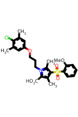 COc1ccccc1S(=O)(=O)c1c(C)c(C(=O)O)n(CCCOc2cc(C)c(Cl)c(C)c2)c1C